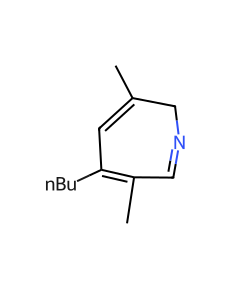 CCCCC1=C(C)C=NCC(C)=C1